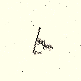 CCCCCCCCCCCCCCCCCC(CCCCCCCF)S(=O)(=O)NCCC[N+](C)(C)C